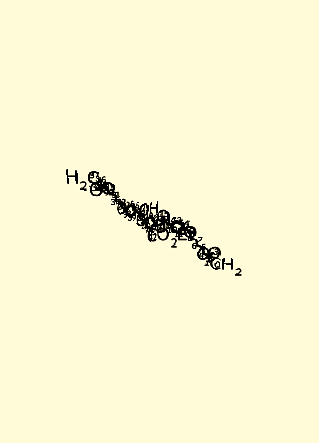 C=CC(=O)OCCCCOc1ccc(C(=O)Oc2ccc(OC(O)c3ccc(OCCCCOC(=O)C=C)cc3)cc2C(=O)OCC)cc1